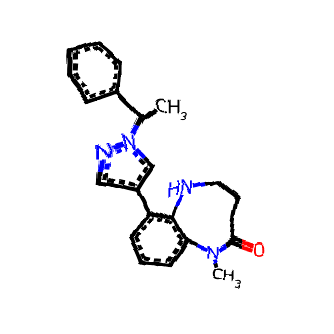 CC(c1ccccc1)n1cc(-c2cccc3c2NCCC(=O)N3C)cn1